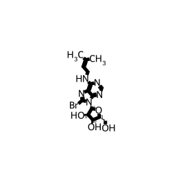 CC(C)=CCNc1ncnc2c1nc(Br)n2[C@@H]1O[C@H](CO)[C@@H](O)[C@H]1O